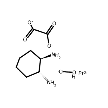 N[C@@H]1CCCC[C@H]1N.O=C([O-])C(=O)[O-].[O]O.[Pt+2]